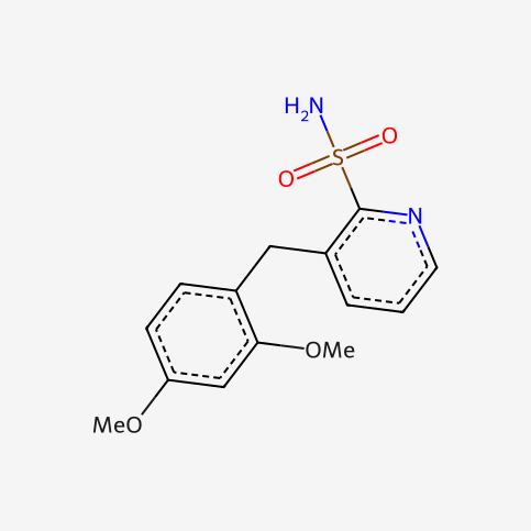 COc1ccc(Cc2cccnc2S(N)(=O)=O)c(OC)c1